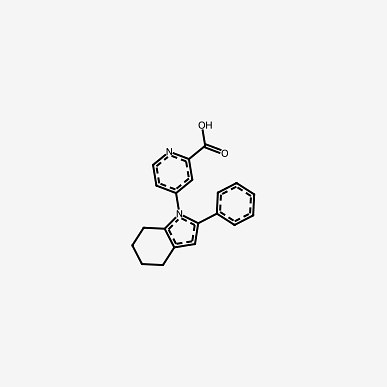 O=C(O)c1cc(-n2c(-c3ccccc3)cc3c2CCCC3)ccn1